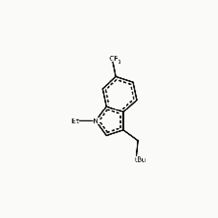 CCn1cc(CC(C)(C)C)c2ccc(C(F)(F)F)cc21